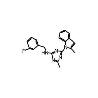 Cc1nc(NCc2cccc(F)c2)nc(-n2c(C)cc3ccccc32)n1